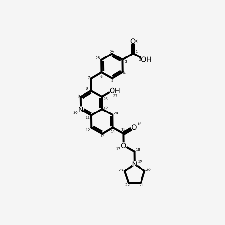 O=C(O)c1ccc(Cc2cnc3ccc(C(=O)OCN4CCCC4)cc3c2O)cc1